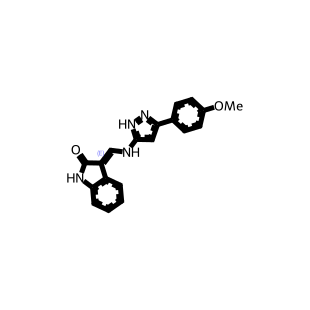 COc1ccc(-c2cc(N/C=C3/C(=O)Nc4ccccc43)[nH]n2)cc1